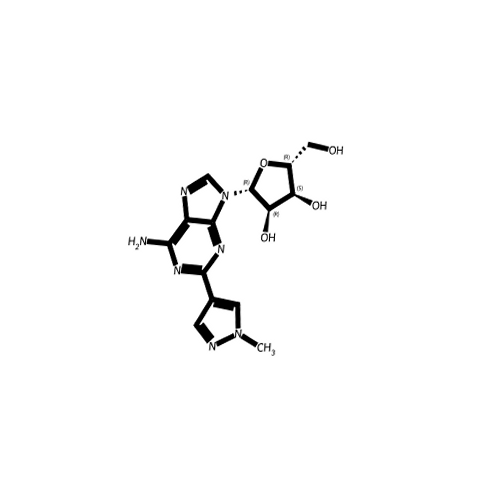 Cn1cc(-c2nc(N)c3ncn([C@@H]4O[C@H](CO)[C@@H](O)[C@H]4O)c3n2)cn1